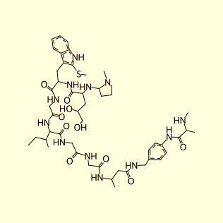 CCC(C)C(NC(=O)CNC(=O)C(Cc1c(SC)[nH]c2ccccc12)NC(=O)C(CC(O)CO)NC1CCCN1C)C(=O)NCC(=O)NCC(=O)NC(C)CC(=O)NCc1ccc(NC(=O)C(C)NC)cc1